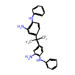 Nc1cc(C(c2ccc(Nc3ccccc3)c(N)c2)(C(F)(F)F)C(F)(F)F)ccc1Nc1ccccc1